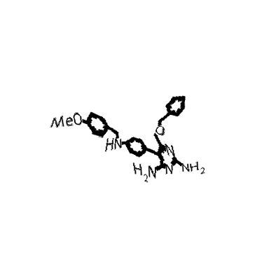 COc1ccc(CNc2ccc(-c3c(N)nc(N)nc3COCc3ccccc3)cc2)cc1